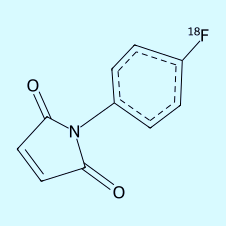 O=C1C=CC(=O)N1c1ccc([18F])cc1